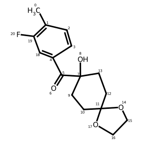 Cc1ccc(C(=O)C2(O)CCC3(CC2)OCCO3)cc1F